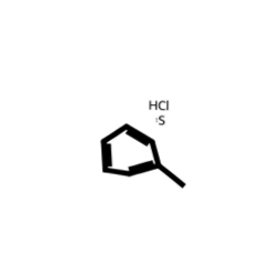 Cc1ccccc1.Cl.[S]